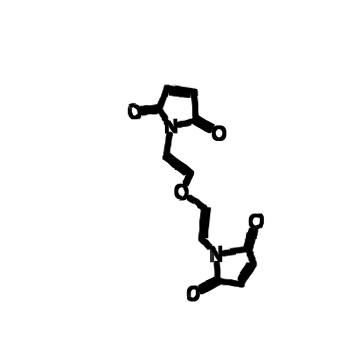 O=C1C=CC(=O)N1C=COC=CN1C(=O)C=CC1=O